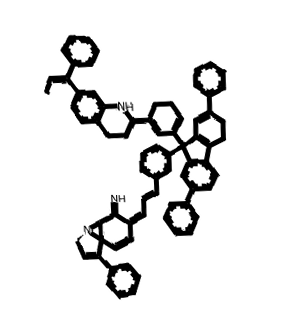 C/C=C(/c1ccccc1)c1ccc2c(c1)NC(C1=CC(C3(c4cccc(/C=C/C=C5/C=CC67C(c8ccccc8)=CC[N@]6C7C5=N)c4)C4=C(CCC(c5ccccc5)=C4)c4ccc(-c5ccccc5)cc43)=CCC1)CC2